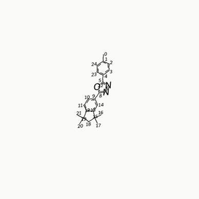 Cc1ccc(-c2nnc(-c3ccc4c(c3)C(C)(C)CC4(C)C)o2)cc1